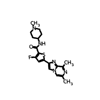 Cc1cn2cc(-c3cc(F)c(C(=O)NC4CCN(C)CC4)s3)nc2c(C)n1